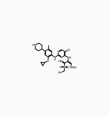 CN/C=C(/Nc1nc(Nc2cc(C)c(C3CCNCC3)cc2OC2CC2)ncc1Cl)C(=N)S(=O)(=O)CC(C)C